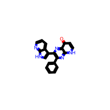 O=c1cc[nH]c2nc(-c3ccccc3)c(-c3c[nH]c4ncccc34)nc12